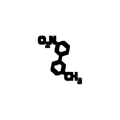 Cc1cccc(-c2cccc([N+](=O)[O-])c2)c1